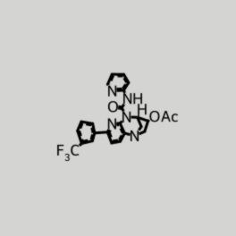 CC(=O)O[C@H]1CN2C[C@H]1N(C(=O)Nc1ccccn1)c1nc(-c3cccc(C(F)(F)F)c3)ccc12